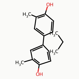 CCC.Cc1cc(-c2ccc(O)c(C)c2)ccc1O